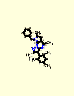 Cc1cc(C)c(-c2c(C)nn3c2nc(C)c2cc(C)n(Cc4ccccc4)c23)c(C)c1